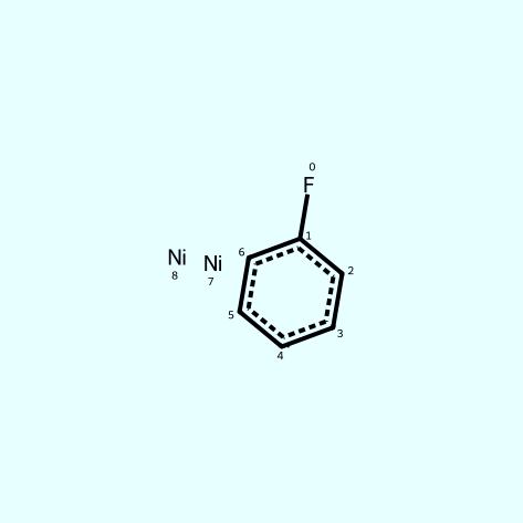 Fc1cc[c]cc1.[Ni].[Ni]